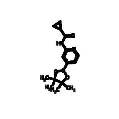 CC1(C)OB(c2ccnc(NC(=O)C3CC3)c2)OC1(C)C